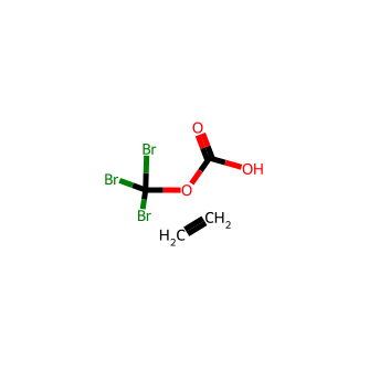 C=C.O=C(O)OC(Br)(Br)Br